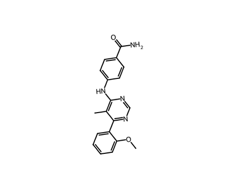 COc1ccccc1-c1ncnc(Nc2ccc(C(N)=O)cc2)c1C